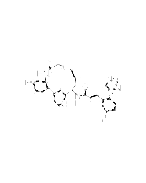 O=C(C=Cc1cc(Cl)ccc1-n1cnnn1)NC1CC=CCCC(=O)Nc2cc(F)ccc2-c2ccnc1c2